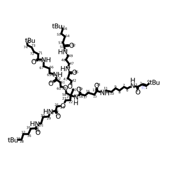 CC(C)(C)/C=C/C(=O)NCCCCCCNC(=O)CCCC(=O)NC(CCOCC(=O)NCCCNC(=O)CCCCC(C)(C)C)(COCCC(=O)NCCCNC(=O)CCCCC(C)(C)C)COCCC(=O)NCCCNC(=O)CCCCC(C)(C)C